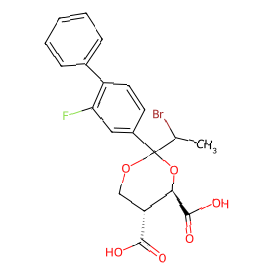 CC(Br)C1(c2ccc(-c3ccccc3)c(F)c2)OC[C@@H](C(=O)O)[C@H](C(=O)O)O1